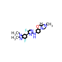 CCn1c(C)nc2c(F)cc(-c3nc(Nc4ccc5c(c4)OC[C@@H]4CN(C)CCN54)ncc3F)cc21